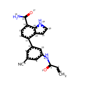 C=CC(=O)Nc1cc(C#N)cc(-c2ccc(C(N)=O)c3[nH]ccc23)c1